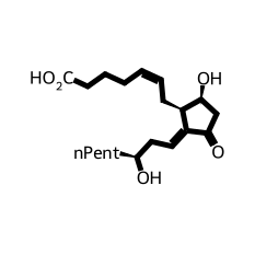 CCCCC[C@H](O)C/C=C1/C(=O)C[C@H](O)[C@@H]1C/C=C\CCCC(=O)O